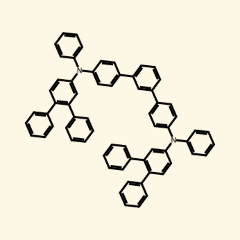 c1ccc(-c2ccc(N(c3ccccc3)c3ccc(-c4cccc(-c5ccc(N(c6ccccc6)c6ccc(-c7ccccc7)c(-c7ccccc7)c6)cc5)c4)cc3)cc2-c2ccccc2)cc1